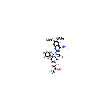 COc1cc2nc(N(C)CC3(c4ccccc4)CCN(CC(=O)[C@@H](C)O)CC3)nc(N)c2cc1OC